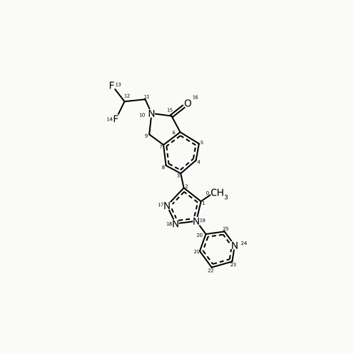 Cc1c(-c2ccc3c(c2)CN(CC(F)F)C3=O)nnn1-c1cccnc1